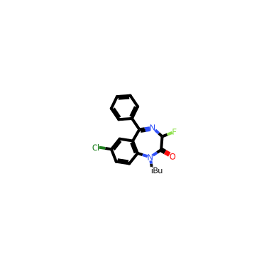 CCC(C)N1C(=O)C(F)N=C(c2ccccc2)c2cc(Cl)ccc21